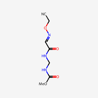 COC(=O)NCNC(=O)/C=N/OCC#N